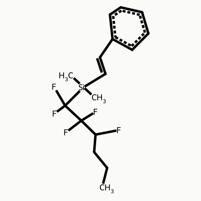 CCCC(F)C(F)(F)C(F)(F)[Si](C)(C)C=Cc1ccccc1